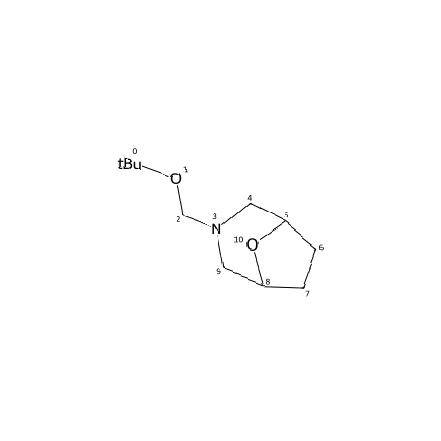 CC(C)(C)OCN1CC2CCC(C1)O2